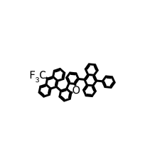 FC(F)(F)c1c2ccccc2c(-c2cccc3oc4c(-c5c6ccccc6c(-c6ccccc6)c6ccccc56)cccc4c23)c2ccccc12